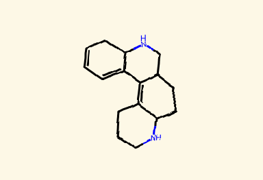 C1=CCC2NCC3CCC4NCCCC4=C3C2=C1